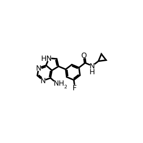 Nc1ncnc2[nH]cc(-c3cc(F)cc(C(=O)NC4CC4)c3)c12